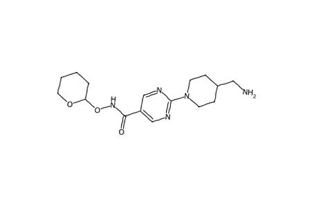 NCC1CCN(c2ncc(C(=O)NOC3CCCCO3)cn2)CC1